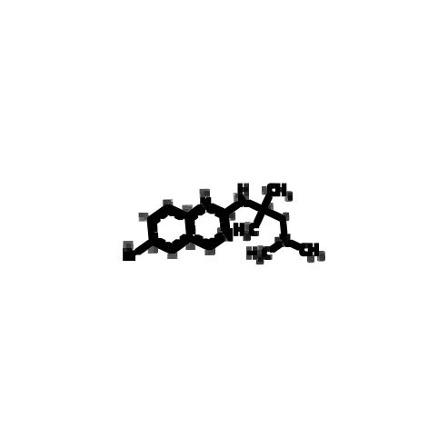 CN(C)CC(C)(C)Nc1ncc2cc(Br)ccc2n1